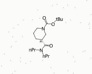 CCCN(CCC)C(=O)[C@@H]1CCCN(C(=O)OC(C)(C)C)C1